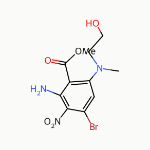 COC(=O)c1c(N(C)CCO)cc(Br)c([N+](=O)[O-])c1N